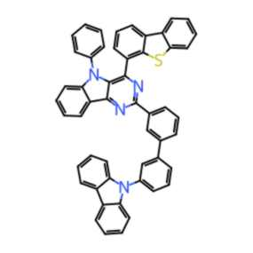 c1ccc(-n2c3ccccc3c3nc(-c4cccc(-c5cccc(-n6c7ccccc7c7ccccc76)c5)c4)nc(-c4cccc5c4sc4ccccc45)c32)cc1